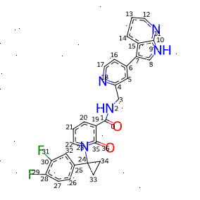 O=C(NCc1cc(-c2c[nH]c3ncccc23)ccn1)c1cccn(C2(c3ccc(F)c(F)c3)CC2)c1=O